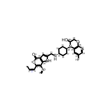 C=Nc1c(/C=C\C)oc(=O)c2cc(CN[C@H]3CC[C@H](N4c5cc(F)cnc5OCC4O)CC3)[nH]c12